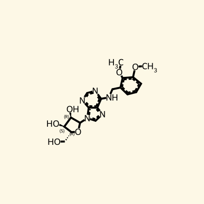 COc1cccc(CNc2ncnc3c2ncn3C2O[C@H](CO)[C@@H](O)[C@H]2O)c1OC